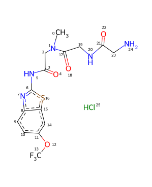 CN(CC(=O)Nc1nc2ccc(OC(F)(F)F)cc2s1)C(=O)CNC(=O)CN.Cl